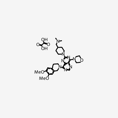 COc1cc2c(cc1OC)CN(c1ncnc3c(N4CCOCC4)nc(N4CCC(CN(C)C)CC4)nc13)CC2.O=C(O)C(=O)O